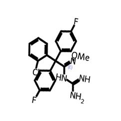 CO/N=C(/NC(=N)N)C(c1ccc(F)cc1)(c1ccc(F)cc1)c1ccccc1Cl